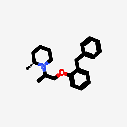 CC(COc1ccccc1Cc1ccccc1)N1CCCC[C@H]1C